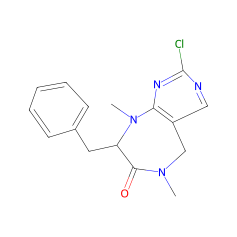 CN1Cc2cnc(Cl)nc2N(C)C(Cc2ccccc2)C1=O